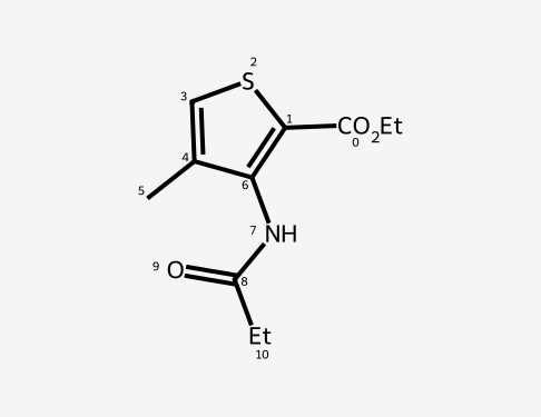 CCOC(=O)c1scc(C)c1NC(=O)CC